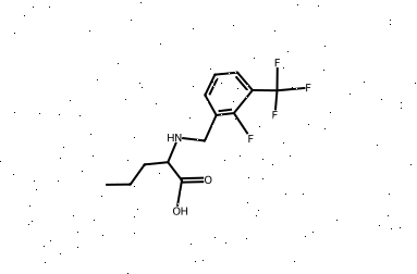 CCCC(NCc1cccc(C(F)(F)F)c1F)C(=O)O